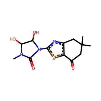 CN1C(=O)N(c2nc3c(s2)C(=O)CC(C)(C)C3)C(O)C1O